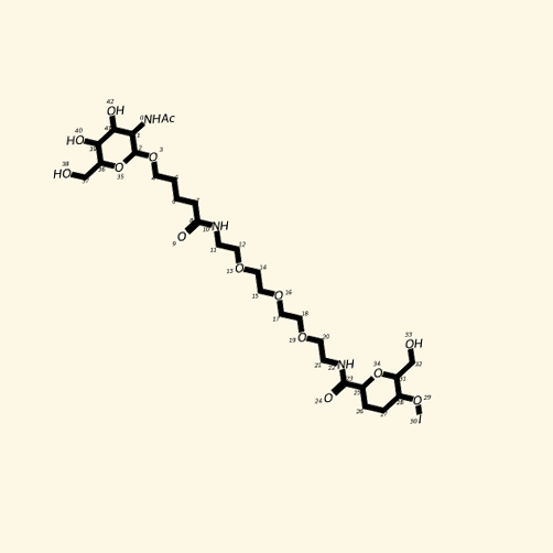 CC(=O)NC1C(OCCCCC(=O)NCCOCCOCCOCCNC(=O)C2CCC(OI)C(CO)O2)OC(CO)C(O)C1O